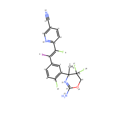 CC1(c2cc(C(I)=C(F)c3ccc(C#N)cn3)ccc2F)N=C(N)OCC1(F)F